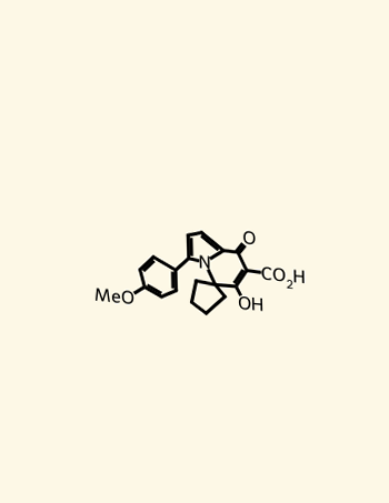 COc1ccc(-c2ccc3n2C2(CCCC2)C(O)=C(C(=O)O)C3=O)cc1